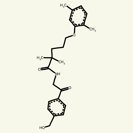 Cc1ccc(C)c(OCCCC(C)(C)C(=O)NCC(=O)c2ccc(CO)cc2)c1